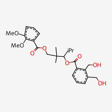 COc1cccc(C(=O)OCC(C)(C)C(OC(=O)c2cccc(CO)c2CO)C(C)C)c1OC